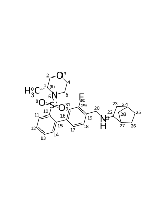 C[C@@H]1COCCN1S(=O)(=O)c1ccccc1-c1ccc(CNC2CC3CCC2C3)c(F)c1